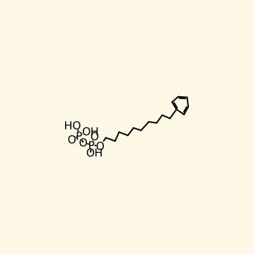 O=P(O)(O)OP(=O)(O)OCCCCCCCCCCc1ccccc1